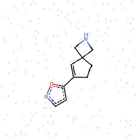 C1=C(c2ccno2)CCC12CNC2